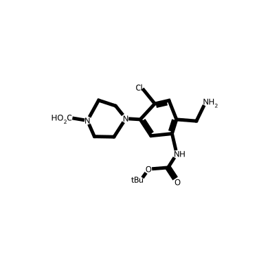 CC(C)(C)OC(=O)Nc1cc(N2CCN(C(=O)O)CC2)c(Cl)cc1CN